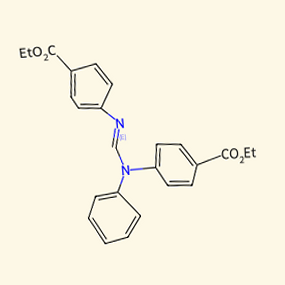 CCOC(=O)c1ccc(/N=C/N(c2ccccc2)c2ccc(C(=O)OCC)cc2)cc1